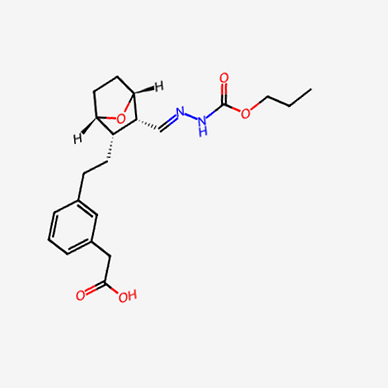 CCCOC(=O)NN=C[C@@H]1[C@H](CCc2cccc(CC(=O)O)c2)[C@@H]2CC[C@H]1O2